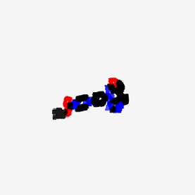 CC(C)(C)OC(=O)N1CCN(C2CCC(Nc3ncnn4ccc(C5=CCOCC5)c34)CC2)CC1